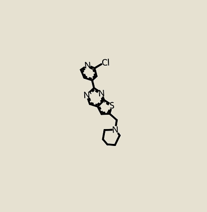 Clc1cc(-c2ncc3cc(CN4CCCCC4)sc3n2)ccn1